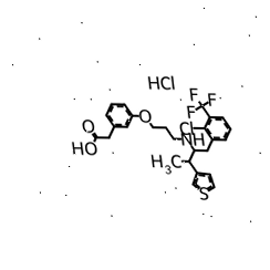 CC(c1ccsc1)C(Cc1cccc(C(F)(F)F)c1Cl)NCCCOc1cccc(CC(=O)O)c1.Cl